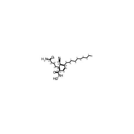 CCCCCCCCCCc1ccc(C(=O)NO)c(CCCC(N)=O)c1C#N